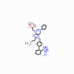 CCCc1nc2c(n1Cc1ccc(-c3ccccc3-c3nnn[nH]3)cc1)CN(c1ccccc1)CN2CC(=O)OC